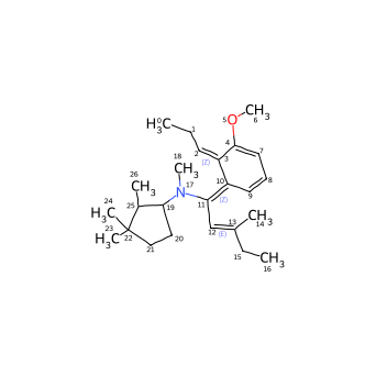 CC\C=c1/c(OC)ccc/c1=C(\C=C(/C)CC)N(C)C1CCC(C)(C)C1C